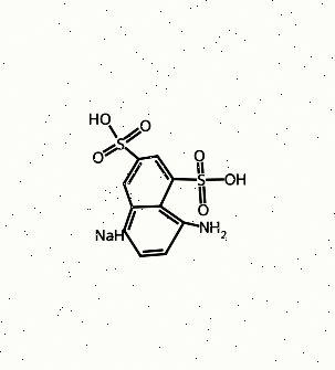 Nc1cccc2cc(S(=O)(=O)O)cc(S(=O)(=O)O)c12.[NaH]